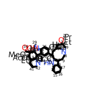 CC[C@]1(OC(C)C)C[C@H]2CN(CCc3c([nH]c4ccccc34)[C@@](C(=O)O)(c3cc4c(cc3OC)N(C)[C@H]3[C@@](O)(C(=O)OC)[C@H](OC(C)=O)[C@]5(CC)C=CCN6CC[C@]43[C@@H]65)C2)C1